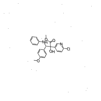 COC(=O)C(O)(c1ccc(Cl)nc1)C(Nc1ccccc1)c1ccc(OC)cc1